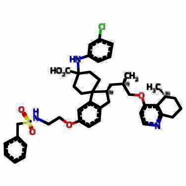 C[C@@H](COc1ccnc2c1[C@H](C)CCC2)C[C@H]1Cc2ccc(OCCNS(=O)(=O)Cc3ccccc3)cc2C12CCC(Nc1cccc(Cl)c1)(C(=O)O)CC2